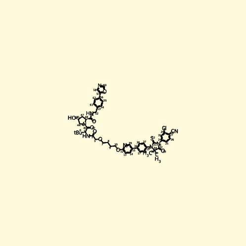 CC(C)(C)[C@H](NC(=O)COCCCCOc1ccc(-c2ccc(N3C(=S)N(c4ccc(C#N)c(Cl)c4)C(=O)C3(C)C)cc2)cn1)C(=O)N1C[C@H](O)C[C@H]1C(=O)NCc1ccc(-c2cnco2)cc1